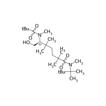 CN([C@H](CO)C(C)(C)CCC(C)(C)S(=O)(=O)N(C)C(C)(C)C(C)(C)C)S(=O)(=O)C(C)(C)C